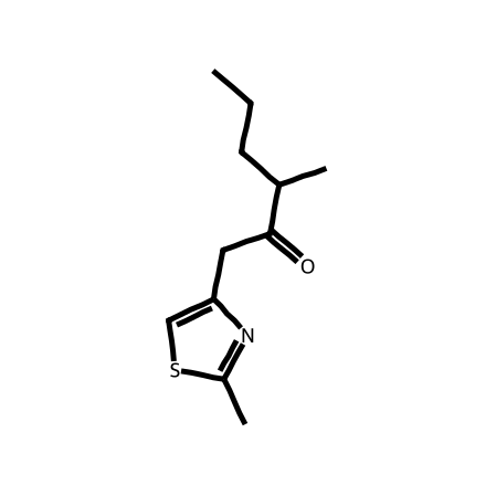 CCCC(C)C(=O)Cc1csc(C)n1